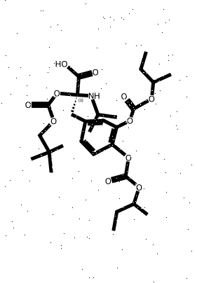 CCC(C)OC(=O)Oc1ccc(C[C@](NC(C)C)(OC(=O)OCC(C)(C)C)C(=O)O)cc1OC(=O)OC(C)CC